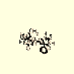 C=CCC1(C(C)CC)C(=O)NC(=O)NC1=O.C=CCC1(C2C=CCCC2)C(=O)NC(=S)NC1=O